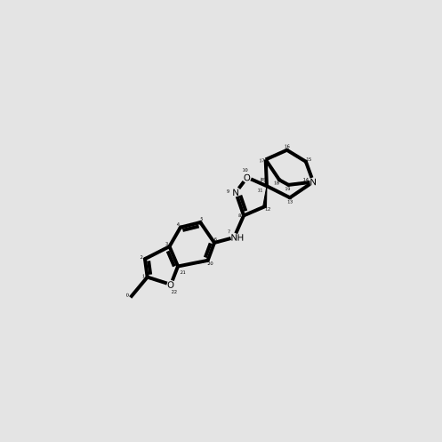 Cc1cc2ccc(NC3=NO[C@@]4(C3)CN3CCC4CC3)cc2o1